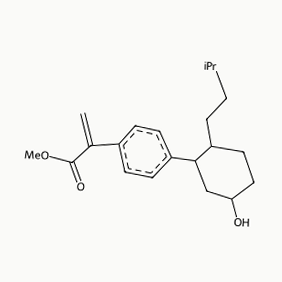 C=C(C(=O)OC)c1ccc(C2CC(O)CCC2CCC(C)C)cc1